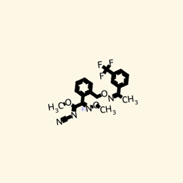 CO/N=C(/C(=NC#N)OC)c1ccccc1CON=C(C)c1cccc(C(F)(F)F)c1